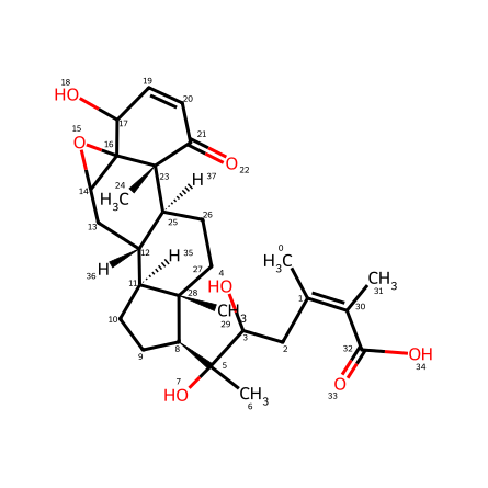 C/C(CC(O)C(C)(O)[C@H]1CC[C@H]2[C@@H]3CC4OC45C(O)C=CC(=O)[C@]5(C)[C@H]3CC[C@]12C)=C(\C)C(=O)O